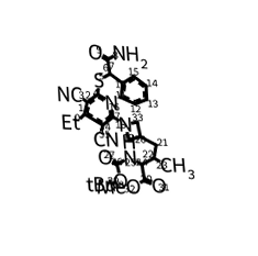 CCc1c(C#N)c(SC(C(N)=O)c2ccccc2)nc(N2CC(CC(C)C(NC(=O)OC(C)(C)C)C(=O)OC)C2)c1C#N